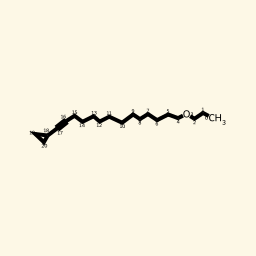 CCCOCCCCCCCCCCCCC#CC1CC1